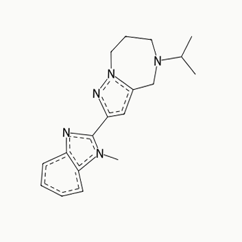 CC(C)N1CCCn2nc(-c3nc4ccccc4n3C)cc2C1